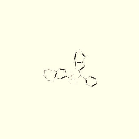 O=S(=O)(NC(c1ccccc1)c1cc2cnccc2s1)c1ccc2c(c1)OCCCO2